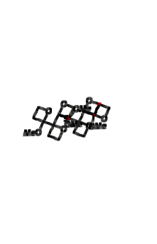 COC1(C2(C3([Si](OC)(OC)C4(C5(C6(OC)CCO6)CCO5)CCO4)CCO3)CCO2)CCO1